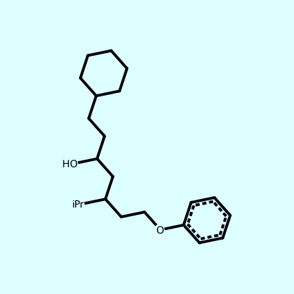 CC(C)C(CCOc1ccccc1)CC(O)CCC1CCCCC1